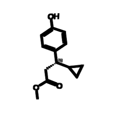 COC(=O)C[C@H](c1ccc(O)cc1)C1CC1